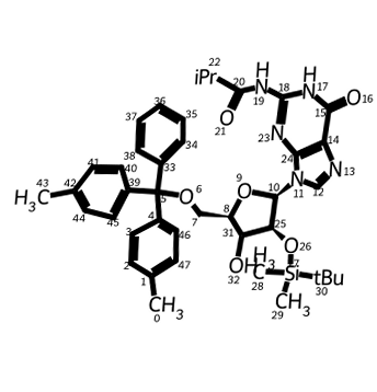 Cc1ccc(C(OC[C@H]2O[C@@H](n3cnc4c(=O)[nH]c(NC(=O)C(C)C)nc43)[C@@H](O[Si](C)(C)C(C)(C)C)C2O)(c2ccccc2)c2ccc(C)cc2)cc1